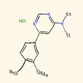 CCN(CC)c1cc(-c2ccc(OC)c(OC)c2)ncn1.Cl